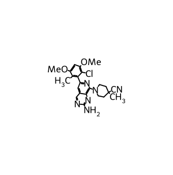 COc1cc(OC)c(Cl)c(-c2cc3cnc(N)nc3c(N3CCC(C)(C#N)CC3)n2)c1C